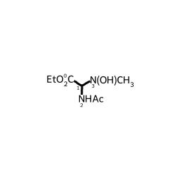 CCOC(=O)C(NC(C)=O)N(C)O